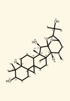 C[C@@H]1CC2OC3(OC2C(C)(C)O)[C@H]1C1(C)CCC24CC25CCC(O)C(C)(C)[C@@H]5CCC4[C@]1(C)[C@H]3O